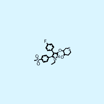 CCn1nc(OC2CSCCC2=O)c(-c2ccc(F)cc2)c1-c1ccc(S(C)(=O)=O)cc1